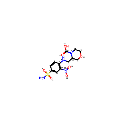 NS(=O)(=O)c1ccc(NCC2COCCN2C(=O)O)c([N+](=O)[O-])c1